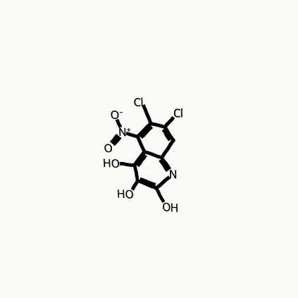 O=[N+]([O-])c1c(Cl)c(Cl)cc2nc(O)c(O)c(O)c12